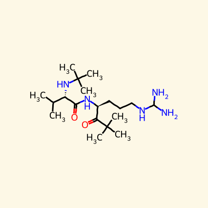 CC(C)[C@H](NC(C)(C)C)C(=O)N[C@@H](CCCNC(N)N)C(=O)C(C)(C)C